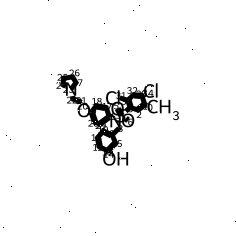 Cc1cc(S(=O)(=O)N(Cc2cccc(O)c2)c2ccc(OCCN3CCCC3)cc2)c(Cl)cc1Cl